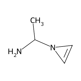 CC(N)N1C=C1